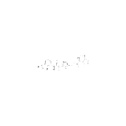 O=C(Nc1ncc(CCNc2ncnc3ccsc23)s1)Nc1cccc(C(F)(F)F)c1F